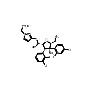 CC(C)(C)C[C@@H]1N[C@@H](C(O)Nc2ccn(CC(=O)O)n2)[C@H](c2cccc(Cl)c2F)[C@@]1(N)c1ccc(Cl)cc1F